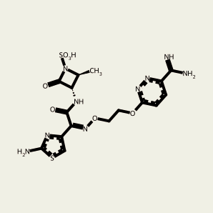 C[C@H]1[C@H](NC(=O)/C(=N\OCCOc2ccc(C(=N)N)nn2)c2csc(N)n2)C(=O)N1S(=O)(=O)O